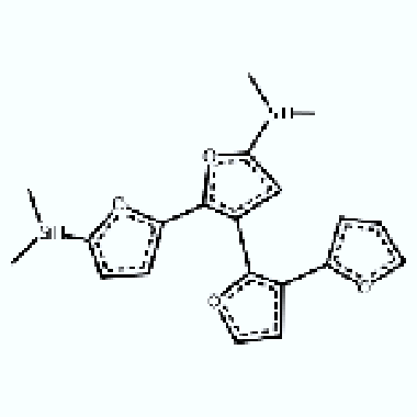 C[SiH](C)c1ccc(-c2oc([SiH](C)C)cc2-c2occc2-c2ccco2)o1